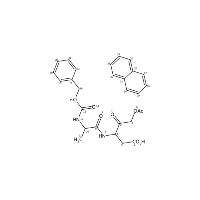 CC(=O)OCC(=O)C(CC(=O)O)NC(=O)C(C)NC(=O)OCc1ccccc1.c1ccc2ccccc2c1